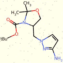 CC(C)(C)OC(=O)N1C(Cn2ccc(N)n2)COC1(C)C